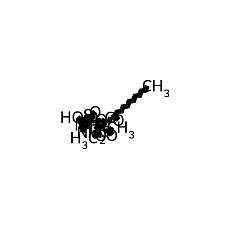 CCCCCCCCCCCC(=O)OC[C@H]1O[C@@H](n2c(=O)sc3c(O)nc(N)nc32)C(OC(C)=O)[C@@H]1OC(C)=O